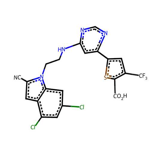 N#Cc1cc2c(Cl)cc(Cl)cc2n1CCNc1cc(-c2cc(C(F)(F)F)c(C(=O)O)s2)ncn1